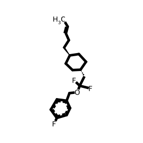 CC=CCC[C@H]1CC[C@H](CC(F)(F)OCc2ccc(F)cc2)CC1